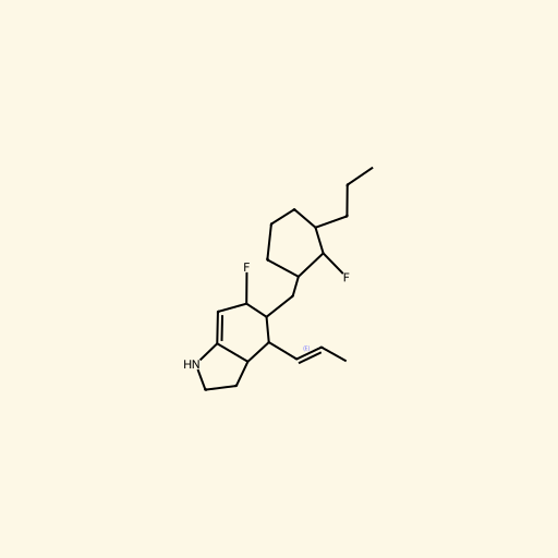 C/C=C/C1C2CCNC2=CC(F)C1CC1CCCC(CCC)C1F